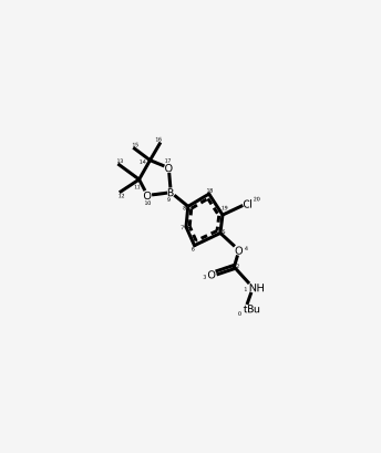 CC(C)(C)NC(=O)Oc1ccc(B2OC(C)(C)C(C)(C)O2)cc1Cl